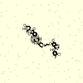 [2H]C1([2H])N(CC2CCN(CCCOc3cc4c(Nc5ccc(F)c(Cl)c5)ncnc4cc3OC)CC2)C([2H])([2H])C([2H])([2H])N(c2ccc3c(c2F)C(=O)N(C2CCC(=O)NC2=O)C3=O)C1([2H])[2H]